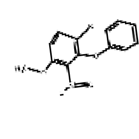 COc1ccc(Br)c(Oc2ccccc2)c1[N+](=O)[O-]